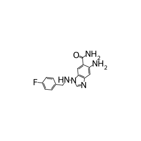 NC(=O)c1cc2c(cc1N)ncn2NCc1ccc(F)cc1